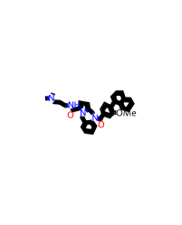 COc1cc(C(=O)N2Cc3ccc(C(=O)NCCCN(C)C)n3Cc3ccccc32)ccc1-c1cccc2ccccc12